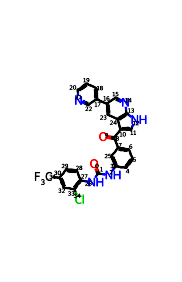 O=C(Nc1cccc(C(=O)c2c[nH]c3ncc(-c4cccnc4)cc23)c1)Nc1ccc(C(F)(F)F)cc1Cl